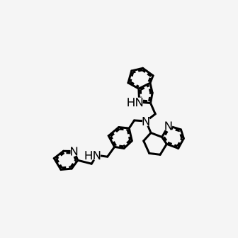 c1ccc(CNCc2ccc(CN(Cc3cc4ccccc4[nH]3)C3CCCc4cccnc43)cc2)nc1